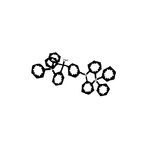 OC(c1ccccc1)(c1ccc(N2c3ccccc3S(c3ccccc3)(c3ccccc3)c3ccccc32)cc1)c1ccccc1N(c1ccccc1)c1ccccc1